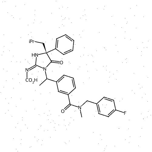 CC(C)C[C@]1(c2ccccc2)NC(=NC(=O)O)N(C(C)c2cccc(C(=O)N(C)Cc3ccc(F)cc3)c2)C1=O